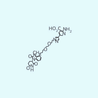 Cn1c(=O)n(C2CCC(=O)NC2=O)c2cccc(CCCOCCOCCn3cc(-c4cnc(N)c(C(=O)O)c4)cn3)c21